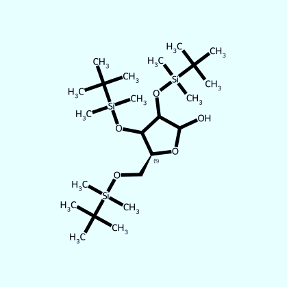 CC(C)(C)[Si](C)(C)OC[C@@H]1OC(O)C(O[Si](C)(C)C(C)(C)C)C1O[Si](C)(C)C(C)(C)C